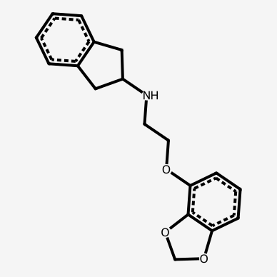 c1ccc2c(c1)CC(NCCOc1cccc3c1OCO3)C2